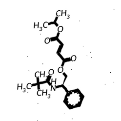 CC(C)OC(=O)/C=C/C(=O)OC[C@H](NC(=O)C(C)(C)C)c1ccccc1